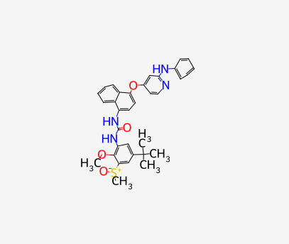 COc1c(NC(=O)Nc2ccc(Oc3ccnc(Nc4ccccc4)c3)c3ccccc23)cc(C(C)(C)C)cc1[S+](C)[O-]